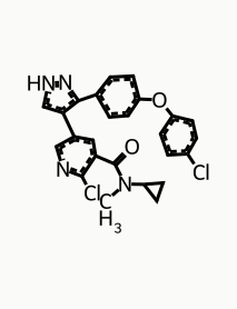 CN(C(=O)c1cc(-c2c[nH]nc2-c2ccc(Oc3ccc(Cl)cc3)cc2)cnc1Cl)C1CC1